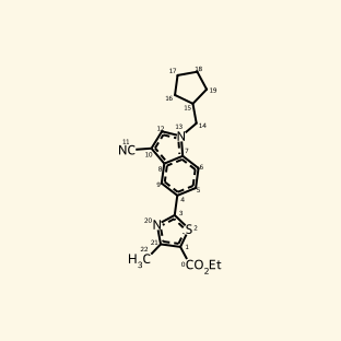 CCOC(=O)c1sc(-c2ccc3c(c2)c(C#N)cn3CC2CCCC2)nc1C